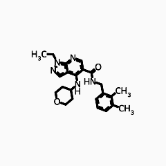 CCn1ncc2c(NC3CCOCC3)c(C(=O)NCc3cccc(C)c3C)cnc21